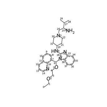 CCOCCOC(c1cccc2cccnc12)n1c(NC2CCN(CC(N)C(C)C)CC2)nc2ccccc21